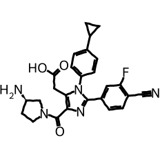 N#Cc1ccc(-c2nc(C(=O)N3CC[C@@H](N)C3)c(CC(=O)O)n2-c2ccc(C3CC3)cc2)cc1F